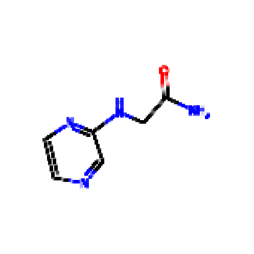 NC(=O)CNc1cnccn1